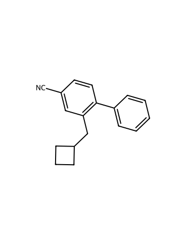 N#Cc1ccc(-c2ccccc2)c(CC2CCC2)c1